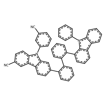 N#Cc1cccc(-n2c3ccc(C#N)cc3c3ccc(-c4ccccc4-c4ccccc4-c4cccc5c6ccccc6n(-c6ccccc6)c45)cc32)c1